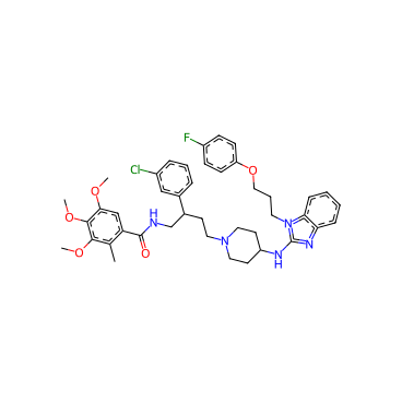 COc1cc(C(=O)NCC(CCN2CCC(Nc3nc4ccccc4n3CCCOc3ccc(F)cc3)CC2)c2cccc(Cl)c2)c(C)c(OC)c1OC